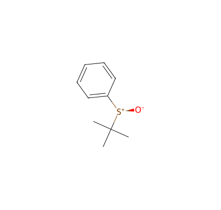 CC(C)(C)[S@+]([O-])c1ccccc1